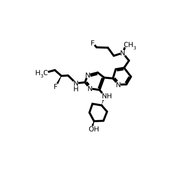 CC[C@H](F)CNc1ncc(-c2cc(CN(C)CCCF)ccn2)c(N[C@H]2CC[C@H](O)CC2)n1